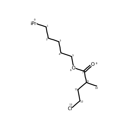 CC(C)CCCCCOC(=O)C(C)CCCl